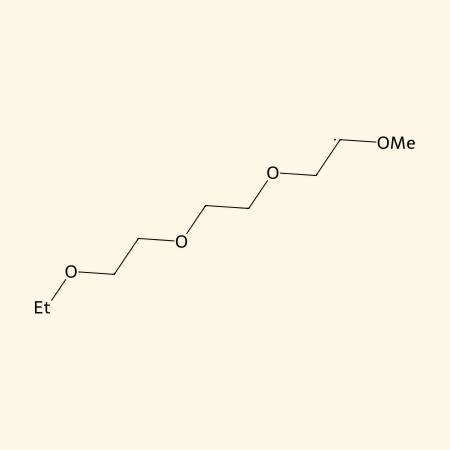 CCOCCOCCOC[CH]OC